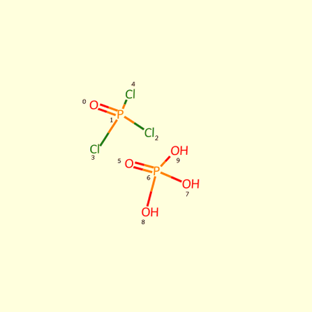 O=P(Cl)(Cl)Cl.O=P(O)(O)O